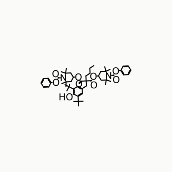 CCCCC(Cc1cc(C(C)(C)C)c(O)c(C(C)(C)C)c1)(C(=O)OC1CC(C)(C)N(C(=O)Oc2ccccc2)C(C)(C)C1)C(=O)OC1CC(C)(C)N(C(=O)Oc2ccccc2)C(C)(C)C1